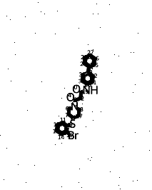 O=C(CC(=O)N1CCC(Sc2ccccc2Br)CC1)Nc1ccc(-c2ccccc2)cc1